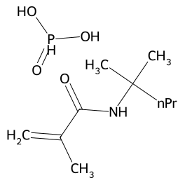 C=C(C)C(=O)NC(C)(C)CCC.O=[PH](O)O